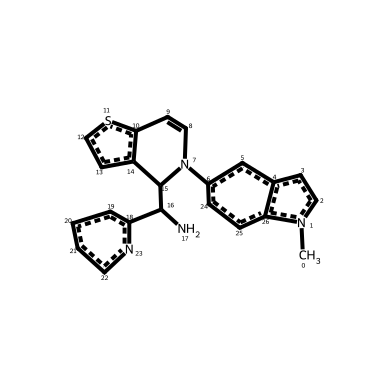 Cn1ccc2cc(N3C=Cc4sccc4C3C(N)c3ccccn3)ccc21